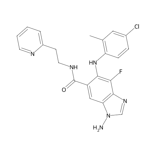 Cc1cc(Cl)ccc1Nc1c(C(=O)NCCc2ccccn2)cc2c(ncn2N)c1F